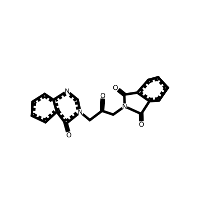 O=C(CN1C(=O)c2ccccc2C1=O)Cn1cnc2ccccc2c1=O